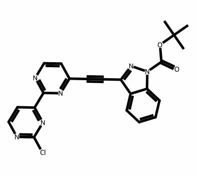 CC(C)(C)OC(=O)n1nc(C#Cc2ccnc(-c3ccnc(Cl)n3)n2)c2ccccc21